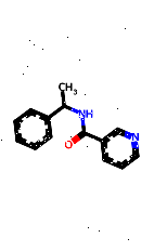 CC(NC(=O)c1cccnc1)c1ccccc1